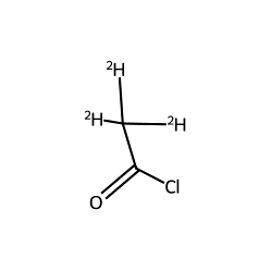 [2H]C([2H])([2H])C(=O)Cl